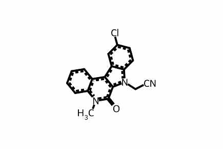 Cn1c(=O)c2c(c3ccccc31)c1cc(Cl)ccc1n2CC#N